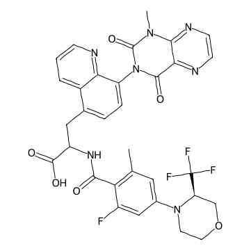 Cc1cc(N2CCOC[C@@H]2C(F)(F)F)cc(F)c1C(=O)NC(Cc1ccc(-n2c(=O)c3nccnc3n(C)c2=O)c2ncccc12)C(=O)O